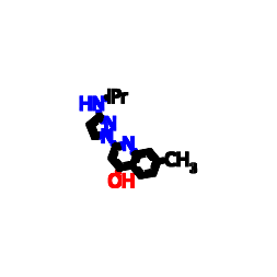 Cc1ccc2c(O)cc(-n3ccc(NC(C)C)n3)nc2c1